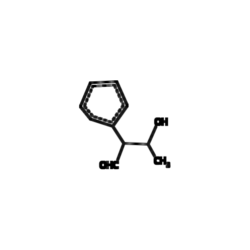 CC(O)C(C=O)c1ccccc1